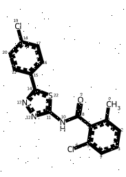 Cc1cccc(Cl)c1C(=O)Nc1nnc(-c2ccc(Cl)cc2)s1